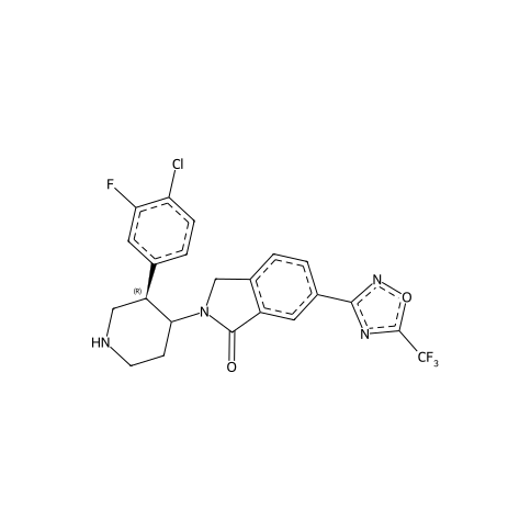 O=C1c2cc(-c3noc(C(F)(F)F)n3)ccc2CN1C1CCNC[C@H]1c1ccc(Cl)c(F)c1